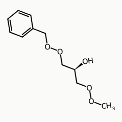 COOC[C@H](O)COOCc1ccccc1